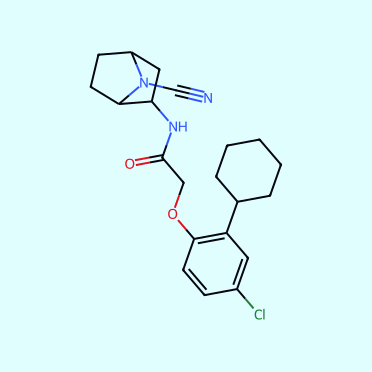 N#CN1C2CCC1C(NC(=O)COc1ccc(Cl)cc1C1CCCCC1)C2